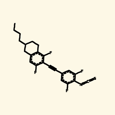 CCCCC1CCc2c(cc(F)c(C#Cc3cc(F)c(N=C=S)c(F)c3)c2F)C1